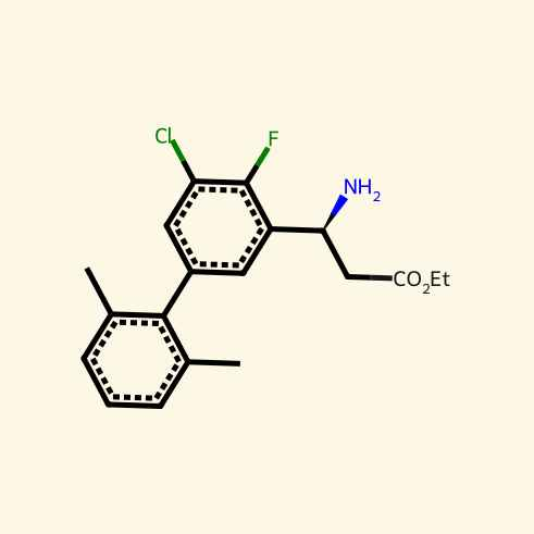 CCOC(=O)C[C@H](N)c1cc(-c2c(C)cccc2C)cc(Cl)c1F